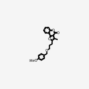 COc1ccc(COCCCc2oc3c(c2C)c(=O)oc2ccccc23)cc1